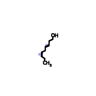 CC/C=C\C/C=C/CCO